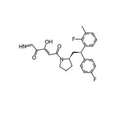 Cc1cccc([C@H](C[C@H]2CCCN2C(=O)/C=C(\O)C(=O)C=N)c2ccc(F)cc2)c1F